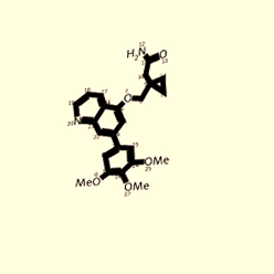 COc1cc(-c2cc(OCC3(CC(N)=O)CC3)c3cccnc3c2)cc(OC)c1OC